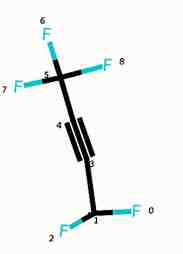 F[C](F)C#CC(F)(F)F